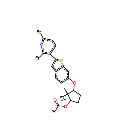 CCc1ccc(-c2cc3ccc(OC4CCC(OC(=O)C(C)C)C4(C)C(F)(F)F)cc3s2)c(CC)n1